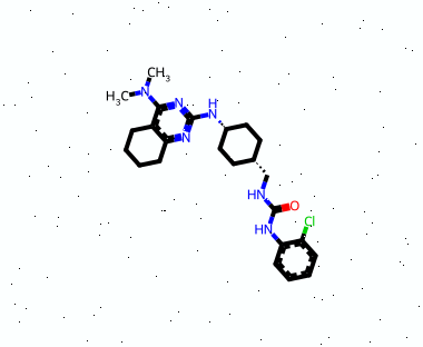 CN(C)c1nc(N[C@H]2CC[C@@H](CNC(=O)Nc3ccccc3Cl)CC2)nc2c1CCCC2